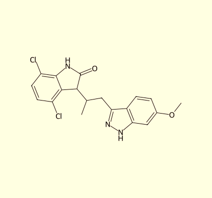 COc1ccc2c(CC(C)C3C(=O)Nc4c(Cl)ccc(Cl)c43)n[nH]c2c1